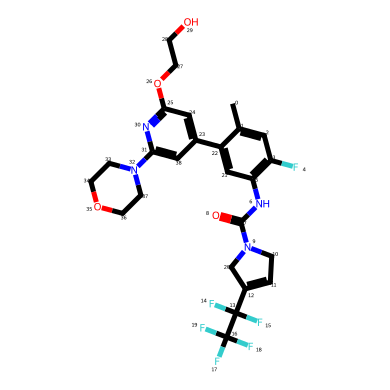 Cc1cc(F)c(NC(=O)N2CC=C(C(F)(F)C(F)(F)F)C2)cc1-c1cc(OCCO)nc(N2CCOCC2)c1